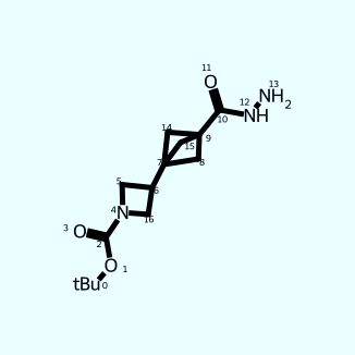 CC(C)(C)OC(=O)N1CC(C23CC(C(=O)NN)(C2)C3)C1